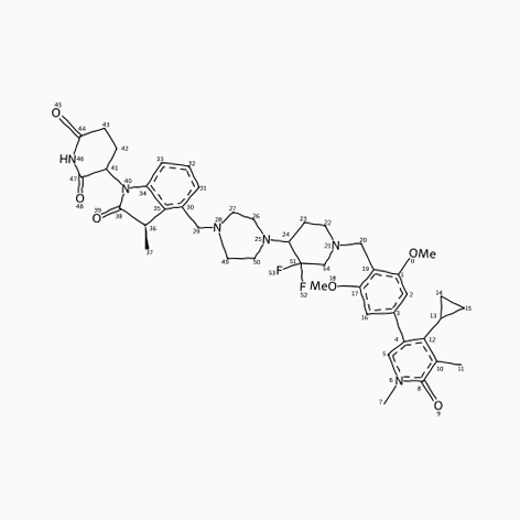 COc1cc(-c2cn(C)c(=O)c(C)c2C2CC2)cc(OC)c1CN1CCC(N2CCN(Cc3cccc4c3[C@@H](C)C(=O)N4C3CCC(=O)NC3=O)CC2)C(F)(F)C1